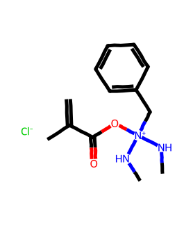 C=C(C)C(=O)O[N+](Cc1ccccc1)(NC)NC.[Cl-]